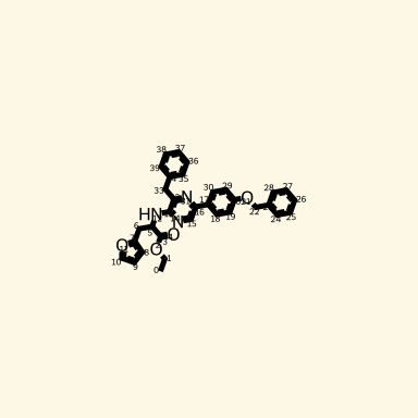 CCOC(=O)C(Cc1ccco1)Nc1ncc(-c2ccc(OCc3ccccc3)cc2)nc1Cc1ccccc1